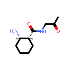 CC(=O)CNC(=O)[C@@H]1CCCC[C@@H]1N